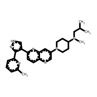 Cc1cccc(-c2n[nH]cc2-c2ccc3ncc(N4CCC(N(C)CC(C)C)CC4)cc3n2)n1